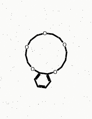 c1ccc2c(c1)OCCCOCCOCCOCCO2